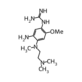 COc1cc(N(C)CCN(C)C)c(N)cc1NC(=N)N